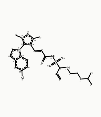 C=CC(NCCOC(C)C)S(=O)(=O)NC(=O)/C=C/c1c(C)nn(C)c1-n1ccc2cc(Cl)ccc21